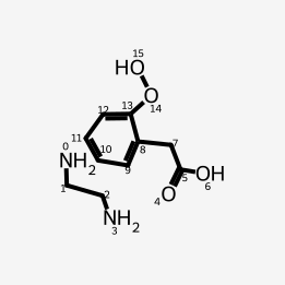 NCCN.O=C(O)Cc1ccccc1OO